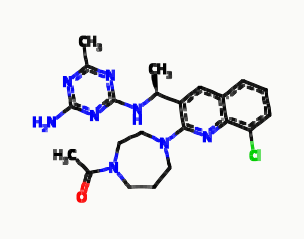 CC(=O)N1CCCN(c2nc3c(Cl)cccc3cc2[C@H](C)Nc2nc(C)nc(N)n2)CC1